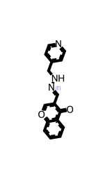 O=c1c(/C=N/NCc2ccncc2)coc2ccccc12